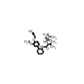 C#CCOc1ccc(C2CCCCC2NC(=O)[C@@H](NS(=O)(=O)N(C)C)C(C)C)cc1OC